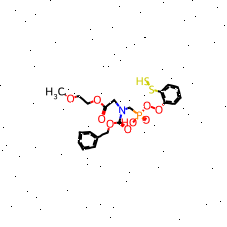 COCCOC(=O)CN(CP(=O)(O)OOc1ccccc1SS)C(=O)OCc1ccccc1